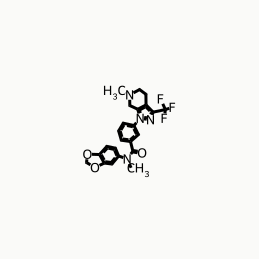 CN1CCc2c(C(F)(F)F)nn(-c3cccc(C(=O)N(C)c4ccc5c(c4)OCO5)c3)c2C1